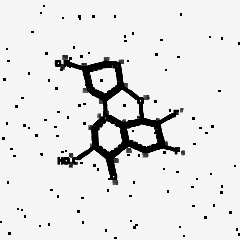 O=C(O)c1cn2c3c(c(F)c(F)cc3c1=O)Oc1ccc([N+](=O)[O-])cc1-2